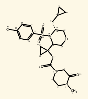 CN1CCN(C(=O)OC2(C3COC[C@@H](CC4CC4)N3S(=O)(=O)c3ccc(Cl)cc3)CC2)CC1=O